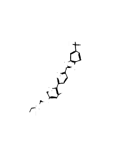 CCNC(=O)Oc1cnc(-c2ccc(-c3nc4ccc(C(F)(F)F)cc4[nH]3)nc2)c(Cl)c1